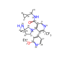 CCOc1cc(-c2c(C(F)(F)F)ncc(C(=O)NC(C)C3CC3)c2N2CC[C@](C)(N)C2)ccn1